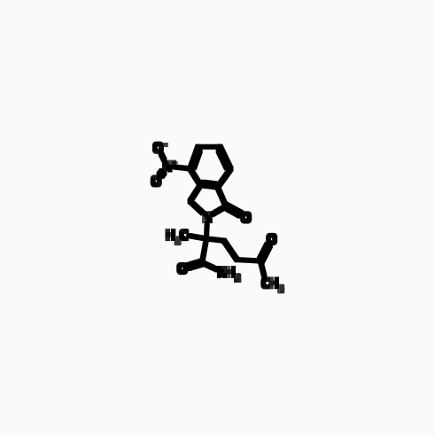 CC(=O)CCC(C)(C(N)=O)N1Cc2c(cccc2[N+](=O)[O-])C1=O